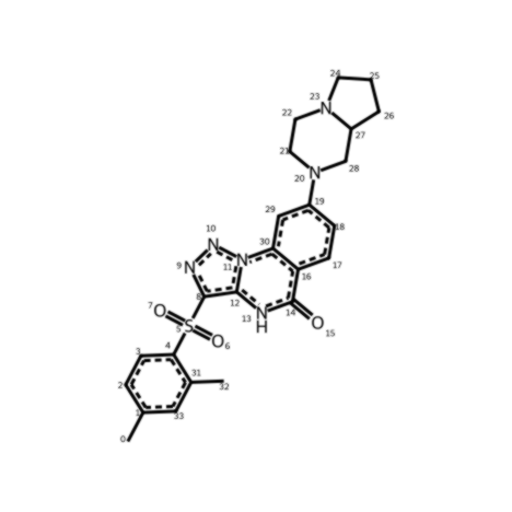 Cc1ccc(S(=O)(=O)c2nnn3c2[nH]c(=O)c2ccc(N4CCN5CCCC5C4)cc23)c(C)c1